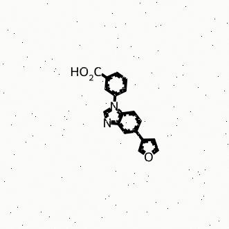 O=C(O)c1cccc(-n2cnc3cc(-c4ccoc4)ccc32)c1